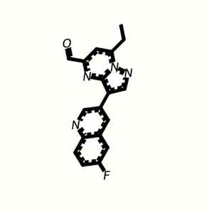 CCc1cc(C=O)nc2c(-c3cnc4ccc(F)cc4c3)cnn12